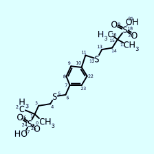 CC(C)(CCSCc1ccc(CSCCC(C)(C)S(=O)(=O)O)cc1)S(=O)(=O)O